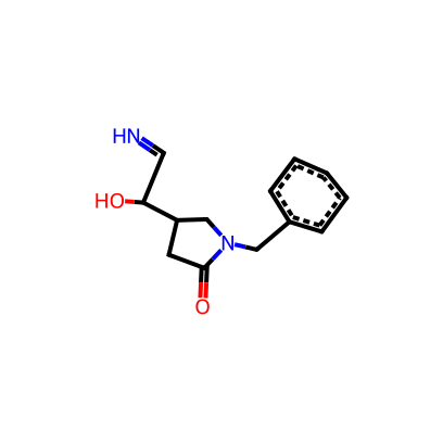 N=CC(O)C1CC(=O)N(Cc2ccccc2)C1